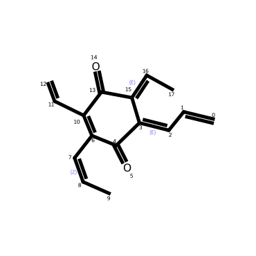 C=C/C=C1/C(=O)C(/C=C\C)=C(C=C)C(=O)/C1=C/C